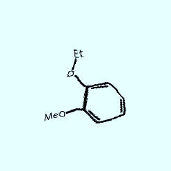 [CH2]COc1ccccc1OC